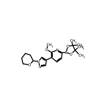 COc1nc(B2OC(C)(C)C(C)(C)O2)ccc1-c1cnn(C2CCCCO2)c1